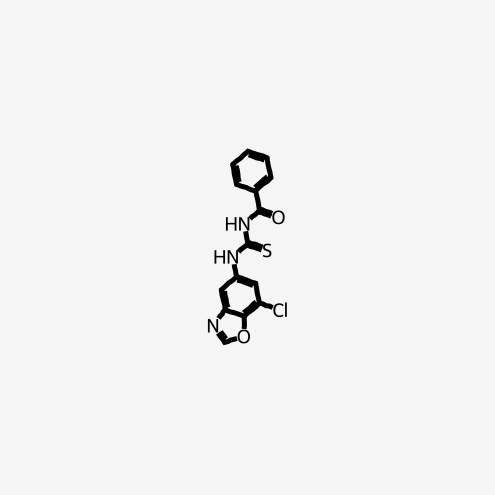 O=C(NC(=S)Nc1cc(Cl)c2ocnc2c1)c1ccccc1